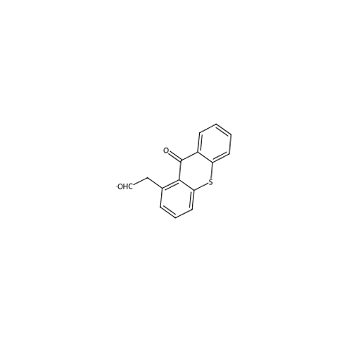 O=[C]Cc1cccc2sc3ccccc3c(=O)c12